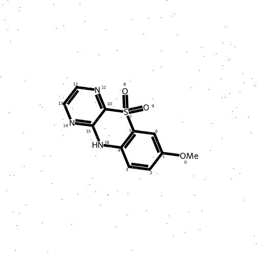 COc1ccc2c(c1)S(=O)(=O)c1nccnc1N2